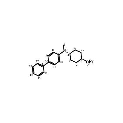 CCC[C@H]1CC[C@H](C(C)c2ccc(-c3ccccc3)cc2)CC1